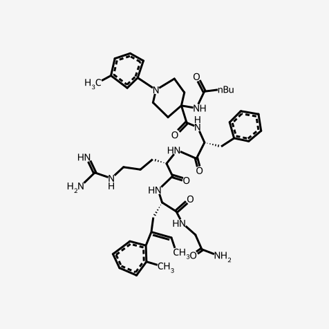 C/C=C(/C[C@H](NC(=O)[C@H](CCCNC(=N)N)NC(=O)[C@@H](Cc1ccccc1)NC(=O)C1(NC(=O)CCCC)CCN(c2cccc(C)c2)CC1)C(=O)NCC(N)=O)c1ccccc1C